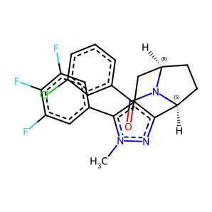 Cn1nc2c(c1-c1cc(F)c(F)c(F)c1)C[C@H]1CC[C@@H]2N1C(=O)c1cccc(Cl)c1